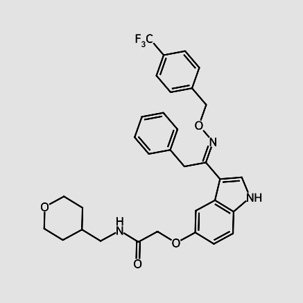 O=C(COc1ccc2[nH]cc(/C(Cc3ccccc3)=N/OCc3ccc(C(F)(F)F)cc3)c2c1)NCC1CCOCC1